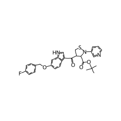 CC(C)(C)OC(=O)C1C(C(=O)c2c[nH]c3cc(OCc4ccc(F)cc4)ccc23)CSN1c1cccnc1